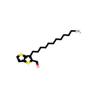 CCCCCCCCCCCCc1c(C=O)sc2ccsc12